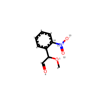 COC(C=O)c1ccccc1[N+](=O)[O-]